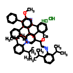 COc1ncc(C(=O)C=Nc2c(C(C)C)cccc2C(C)C)c(-c2[c]([Co])cccc2-c2nc(OC)c(-c3ccccc3)c(-c3cccc[c]3[Ni])c2C(=O)C=Nc2c(C(C)C)cccc2C(C)C)c1-c1ccccc1.Cl.Cl